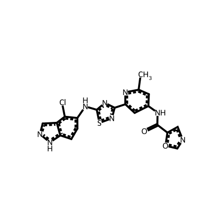 Cc1cc(NC(=O)c2cnco2)cc(-c2nsc(Nc3ccc4[nH]ncc4c3Cl)n2)n1